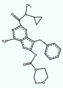 CN(C(=O)c1nc(N)c2nc(OC(=O)N3CCOCC3)n(Cc3ccccc3)c2n1)C1CC1